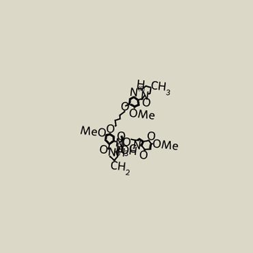 C=C1C[C@H]2C(O)N(C(=O)OCc3cc4c(n3C)C(=O)C=C(OC)C4=O)c3cc(OCCCCCOc4cc5c(cc4OC)C(=O)N4CC(C)C[C@H]4C=N5)c(OC)cc3C(=O)N2C1